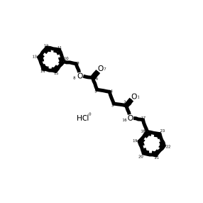 Cl.O=C(CCCC(=O)OCc1ccccc1)OCc1ccccc1